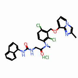 Cc1cn2cccc(OCc3c(Cl)ccc(N(C)C(=O)CNC(=O)Nc4cccc5ccccc45)c3Cl)c2n1.Cl